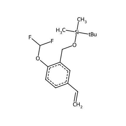 C=Cc1ccc(OC(F)F)c(CO[Si](C)(C)C(C)(C)C)c1